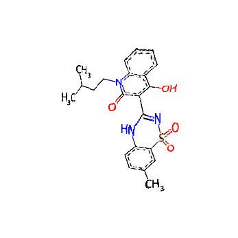 Cc1ccc2c(c1)S(=O)(=O)N=C(c1c(O)c3ccccc3n(CCC(C)C)c1=O)N2